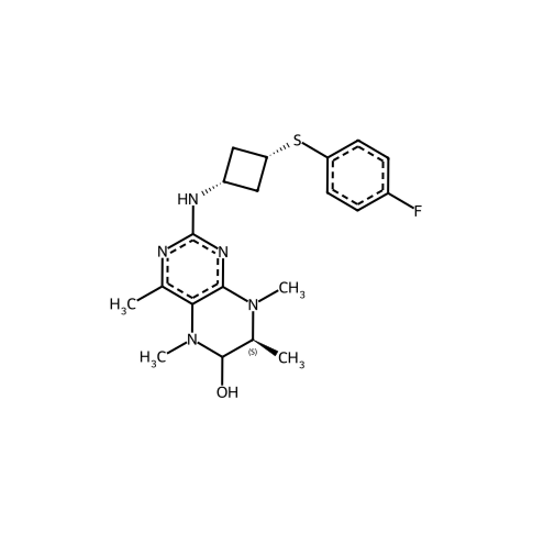 Cc1nc(N[C@H]2C[C@@H](Sc3ccc(F)cc3)C2)nc2c1N(C)C(O)[C@H](C)N2C